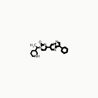 CC(C1CCCNC1)n1ccc(-c2cnc3c(-c4ccccc4)cnn3c2)nc1=O